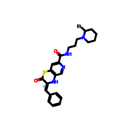 CCC1CCCCN1CCCNC(=O)c1cc2c(cn1)N/C(=C\c1ccccc1)C(=O)S2